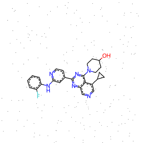 OC1CCN(c2nc(-c3ccnc(Nc4ccccc4F)c3)nc3cncc(C4CC4)c23)CC1